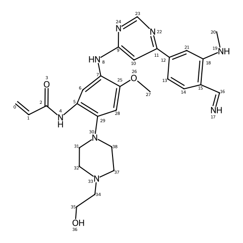 C=CC(=O)Nc1cc(Nc2cc(-c3ccc(C=N)c(NC)c3)ncn2)c(OC)cc1N1CCN(CCO)CC1